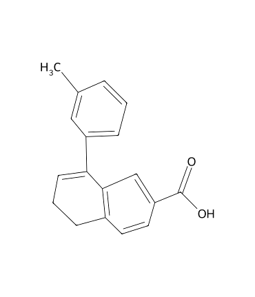 Cc1cccc(C2=CCCc3ccc(C(=O)O)cc32)c1